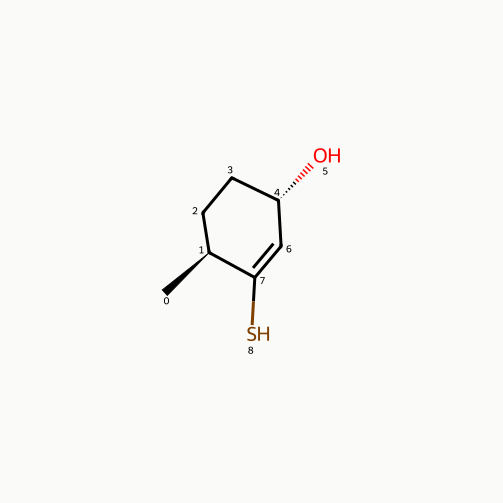 C[C@H]1CC[C@H](O)C=C1S